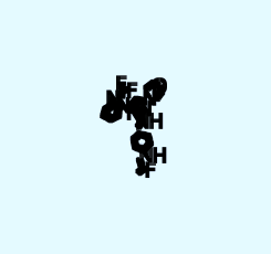 CC(F)CN[C@H]1CC[C@H](CNc2nc(N3CCOCC3)cc(-n3c(C(F)F)nc4ccccc43)n2)CC1